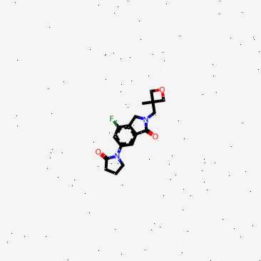 CC1(CN2Cc3c(F)cc(N4CCCC4=O)cc3C2=O)COC1